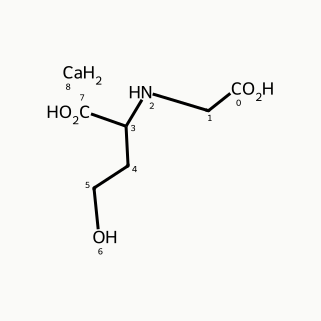 O=C(O)CNC(CCO)C(=O)O.[CaH2]